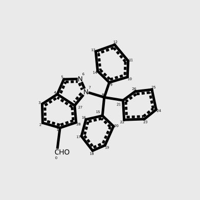 O=Cc1ccc2cnn(C(c3ccccc3)(c3ccccc3)c3ccccc3)c2c1